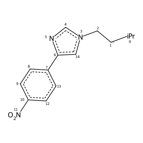 CC(C)[CH]Cn1cnc(-c2ccc([N+](=O)[O-])cc2)c1